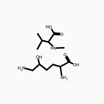 CNC(C(=O)O)C(C)C.NCC(O)CCC(N)C(=O)O